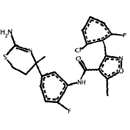 Cc1onc(-c2c(F)cccc2Cl)c1C(=O)Nc1cc(C2(C)CCSC(N)=N2)ccc1F